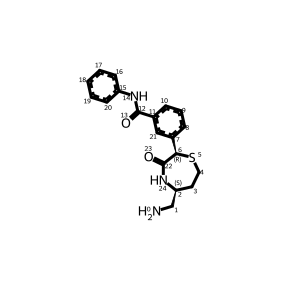 NC[C@@H]1CCS[C@H](c2cccc(C(=O)Nc3ccccc3)c2)C(=O)N1